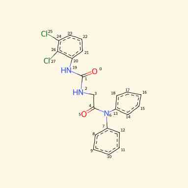 O=C(NCC(=O)N(c1ccccc1)c1ccccc1)Nc1cccc(Cl)c1Cl